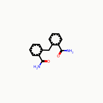 NC(=O)c1ccccc1[CH]c1ccccc1C(N)=O